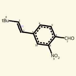 CC(C)(C)/C=C/c1ccc(C=O)c([N+](=O)[O-])c1